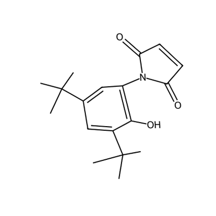 CC(C)(C)c1cc(N2C(=O)C=CC2=O)c(O)c(C(C)(C)C)c1